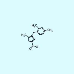 Cc1ccc(Cn2nc(C(=O)Cl)cc2C)c(C)c1